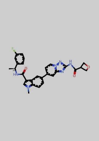 C[C@H](NC(=O)c1cn(C)c2ccc(-c3ccn4nc(NC(=O)C5COC5)nc4c3)cc12)c1cccc(F)c1